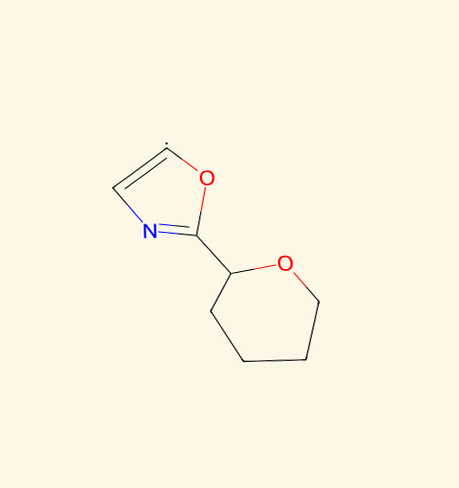 [c]1cnc(C2CCCCO2)o1